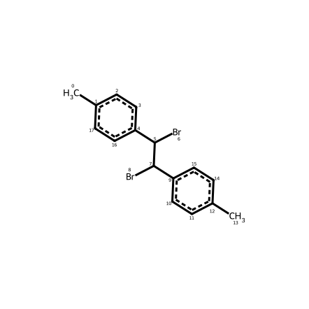 Cc1ccc(C(Br)C(Br)c2ccc(C)cc2)cc1